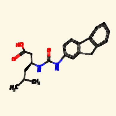 CC(C)C[C@@H](CC(=O)O)NC(=O)Nc1ccc2c(c1)Cc1ccccc1-2